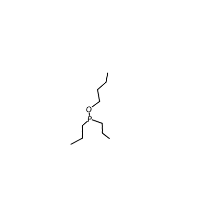 CCCCOP(CCC)CCC